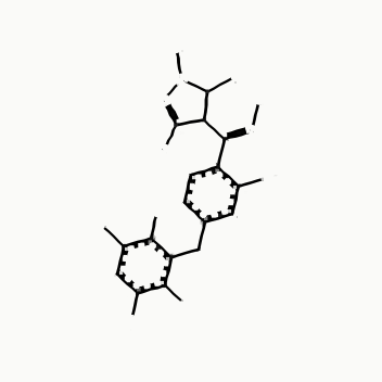 C/N=C(/c1ccc(Cc2c(F)c(C)cc(F)c2F)cc1F)C1C(N)=NN(C)C1C